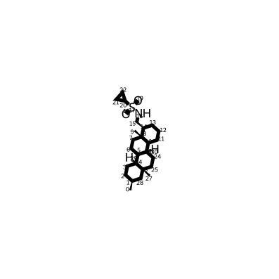 C[C@H]1CC[C@@H]2C3CC[C@@]4(C)C(CCC[C@@H]4CNS(=O)(=O)C4CC4)[C@@H]3CC[C@]2(C)C1